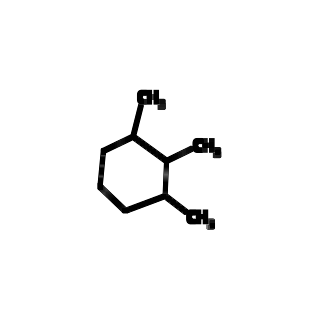 CC1CCCC(C)C1C